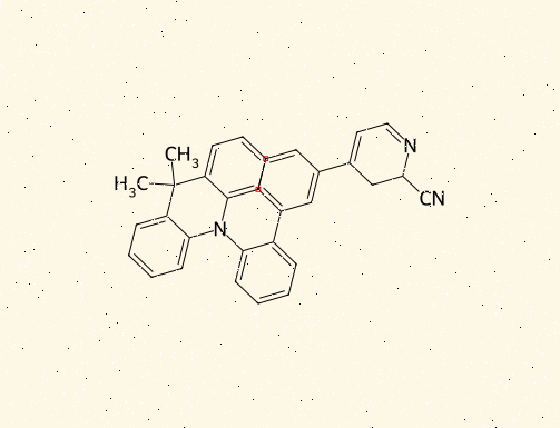 CC1(C)c2ccccc2N(c2ccccc2-c2cccc(C3=CC=NC(C#N)C3)c2)c2ccccc21